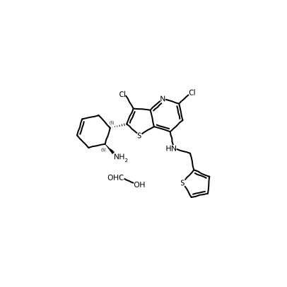 N[C@H]1CC=CC[C@@H]1c1sc2c(NCc3cccs3)cc(Cl)nc2c1Cl.O=CO